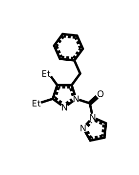 CCc1nn(C(=O)n2cccn2)c(Cc2ccccc2)c1CC